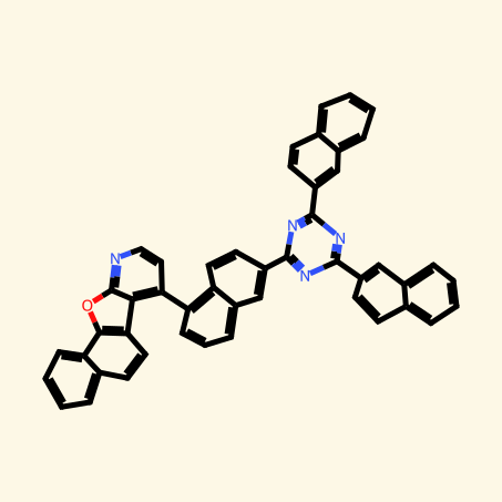 c1ccc2cc(-c3nc(-c4ccc5ccccc5c4)nc(-c4ccc5c(-c6ccnc7oc8c9ccccc9ccc8c67)cccc5c4)n3)ccc2c1